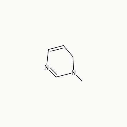 CN1C=NC=CC1